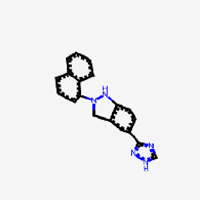 c1ccc2c(N3Cc4cc(-c5nc[nH]n5)ccc4N3)cccc2c1